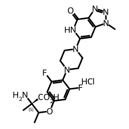 CC(Oc1cc(F)c(N2CCN(c3cc4c(nnn4C)c(=O)[nH]3)CC2)c(F)c1)[C@](C)(N)C(=O)O.Cl